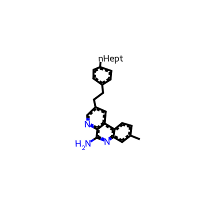 CCCCCCCc1ccc(CCc2cnc3c(N)nc4cc(C)ccc4c3c2)cc1